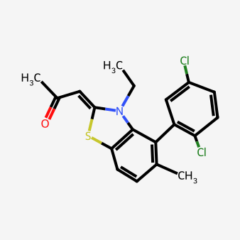 CCN1/C(=C/C(C)=O)Sc2ccc(C)c(-c3cc(Cl)ccc3Cl)c21